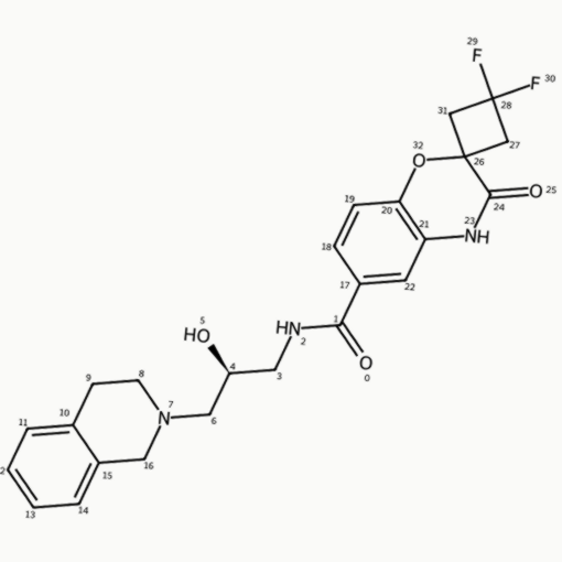 O=C(NC[C@H](O)CN1CCc2ccccc2C1)c1ccc2c(c1)NC(=O)C1(CC(F)(F)C1)O2